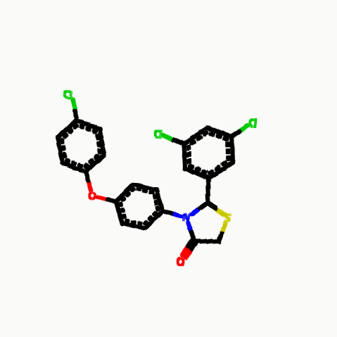 O=C1CSC(c2cc(Cl)cc(Cl)c2)N1c1ccc(Oc2ccc(Cl)cc2)cc1